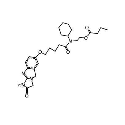 CCCC(=O)OCCN(C(=O)CCCCOc1ccc2c(c1)CN1CC(=O)NC1=N2)C1CCCCC1